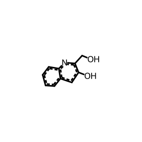 OCc1nc2ccccc2cc1O